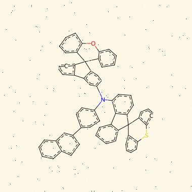 c1ccc2c(c1)Oc1ccccc1C21c2ccccc2-c2cc(N(c3ccc(-c4ccc5ccccc5c4)cc3)c3cccc4c3-c3ccccc3C43c4ccccc4Sc4ccccc43)ccc21